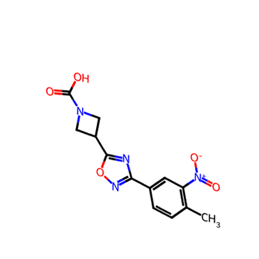 Cc1ccc(-c2noc(C3CN(C(=O)O)C3)n2)cc1[N+](=O)[O-]